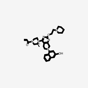 C=CC(=O)N1CCN(c2nc(OCCN3CCCCC3)nc3c2CCN(c2cc(O)cc4ccccc24)C3)[C@@H](C)C1